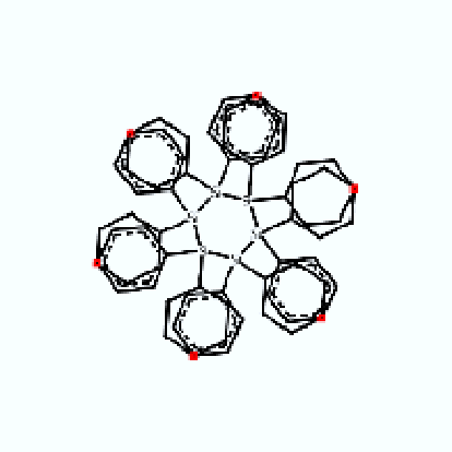 c1ccc([Si]2(C3CCCCC3)[Si](c3ccccc3)(C3CCCCC3)[Si](c3ccccc3)(C3CCCCC3)[Si](c3ccccc3)(C3CCCCC3)[Si](c3ccccc3)(C3CCCCC3)[Si]2(c2ccccc2)C2CCCCC2)cc1